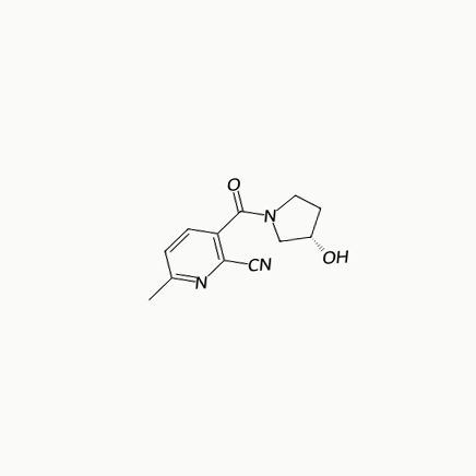 Cc1ccc(C(=O)N2CC[C@H](O)C2)c(C#N)n1